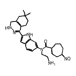 CC1(C)CCC2=C(CNN=C2c2cc3ccc(N(CCN)C(=O)C4CCCC(N=O)CC4)cc3[nH]2)C1